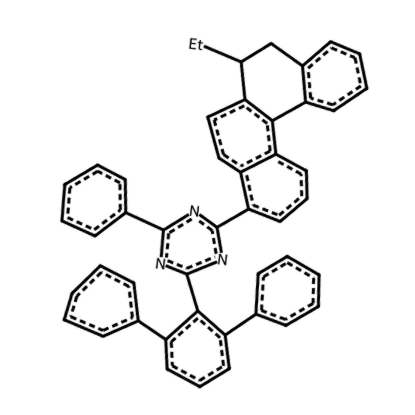 CCC1Cc2ccccc2-c2c1ccc1c(-c3nc(-c4ccccc4)nc(-c4c(-c5ccccc5)cccc4-c4ccccc4)n3)cccc21